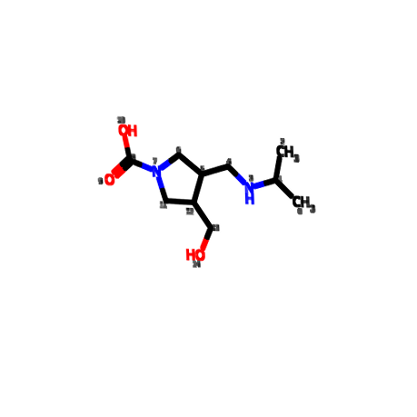 CC(C)NCC1CN(C(=O)O)CC1CO